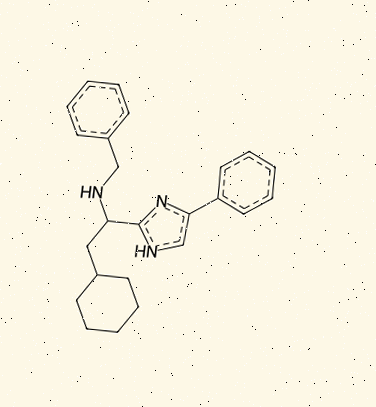 c1ccc(CNC(CC2CCCCC2)c2nc(-c3ccccc3)c[nH]2)cc1